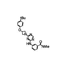 CNC(=O)c1cccc(Nc2ncnc(N3CC(Oc4ccc(C(C)(C)C)cc4)C3)n2)c1